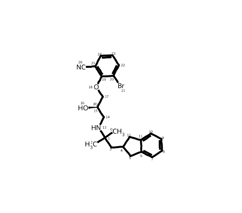 CC(C)(CC1Cc2ccccc2C1)NC[C@@H](O)COc1c(Br)cccc1C#N